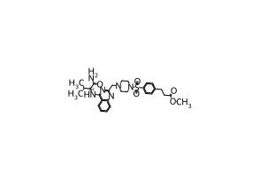 COC(=O)CCc1ccc(S(=O)(=O)N2CCN(Cc3nc(N[C@H](C(N)=O)C(C)C)c4ccccc4n3)CC2)cc1